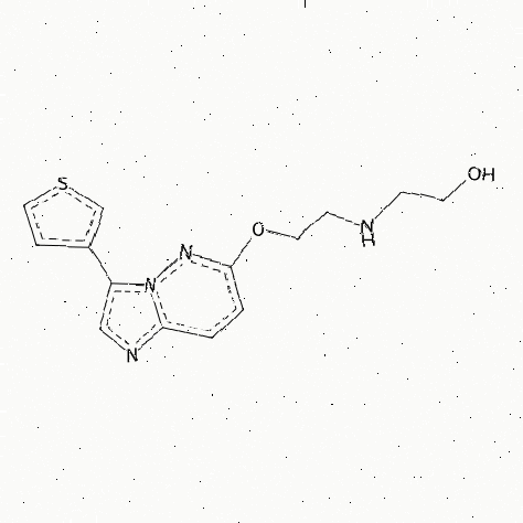 OCCNCCOc1ccc2ncc(-c3ccsc3)n2n1